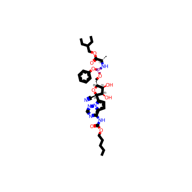 CCCCCOC(=O)Nc1ncnn2c([C@]3(C#N)O[C@H](COP(N[C@@H](C)C(=O)OCC(CC)CC)Oc4ccccc4)[C@@H](O)[C@H]3O)ccc12